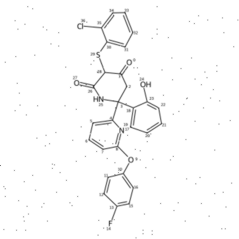 O=C1CC(c2cccc(Oc3ccc(F)cc3)n2)(c2ccccc2O)NC(=O)C1Sc1ccccc1Cl